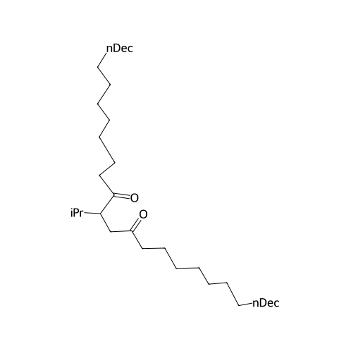 CCCCCCCCCCCCCCCCCC(=O)CC(C(=O)CCCCCCCCCCCCCCCCC)C(C)C